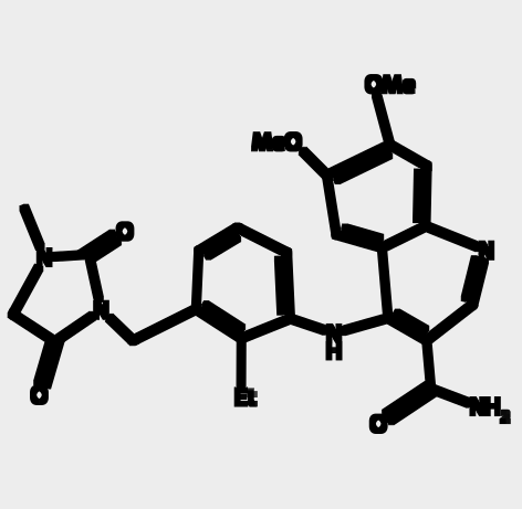 CCc1c(CN2C(=O)CN(C)C2=O)cccc1Nc1c(C(N)=O)cnc2cc(OC)c(OC)cc12